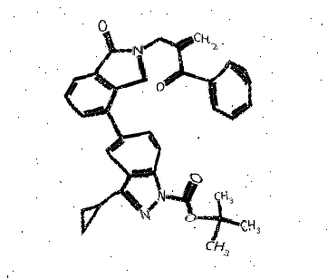 C=C(CN1Cc2c(cccc2-c2ccc3c(c2)c(C2CC2)nn3C(=O)OC(C)(C)C)C1=O)C(=O)c1ccccc1